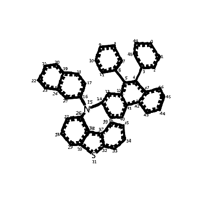 c1ccc(-c2c(-c3ccccc3)c3cc(N(c4ccc5ccccc5c4)c4cccc5sc6ccccc6c45)ccc3c3ccccc23)cc1